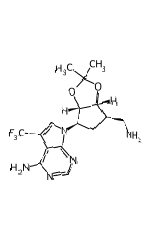 CC1(C)O[C@@H]2[C@@H](CN)C[C@@H](n3cc(C(F)(F)F)c4c(N)ncnc43)[C@@H]2O1